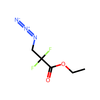 CCOC(=O)C(F)(F)CN=[N+]=[N-]